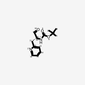 CC(C)(C)OC(=O)N[C@@H]([C]=O)Cc1ccccn1